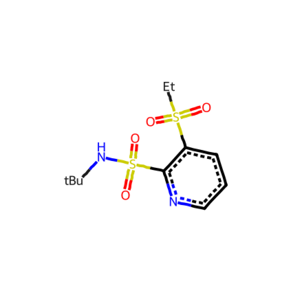 CCS(=O)(=O)c1cccnc1S(=O)(=O)NC(C)(C)C